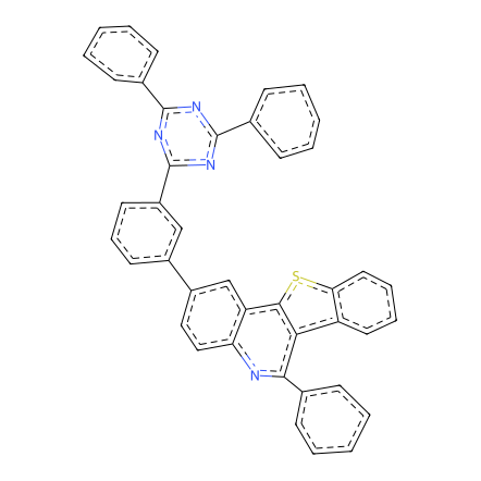 c1ccc(-c2nc(-c3ccccc3)nc(-c3cccc(-c4ccc5nc(-c6ccccc6)c6c7ccccc7sc6c5c4)c3)n2)cc1